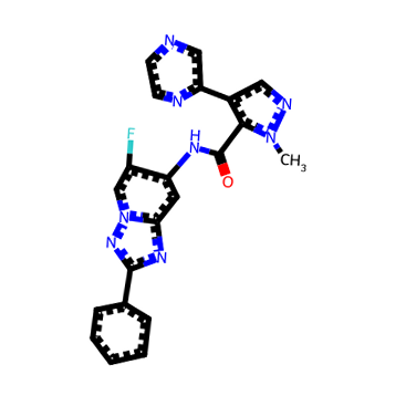 Cn1ncc(-c2cnccn2)c1C(=O)Nc1cc2nc(-c3ccccc3)nn2cc1F